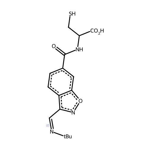 CC(C)(C)/N=C\c1noc2cc(C(=O)NC(CS)C(=O)O)ccc12